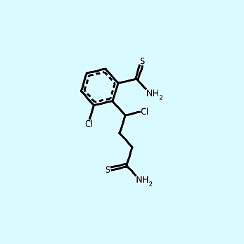 NC(=S)CCC(Cl)c1c(Cl)cccc1C(N)=S